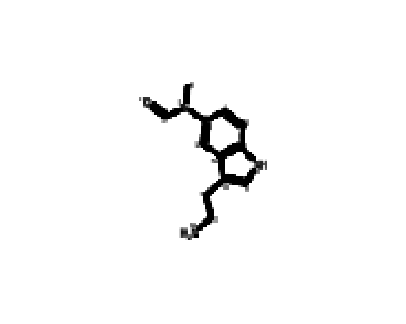 CN(C=O)c1ccc2[nH]cc(CCN)c2c1